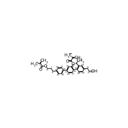 C=C(C)C(=O)OCCCc1ccc(-c2ccc(-c3ccc(CCO)cc3CC)c(OC(=O)C(=C)C)c2)cc1